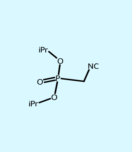 [C-]#[N+]CP(=O)(OC(C)C)OC(C)C